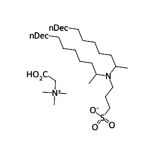 CCCCCCCCCCCCCCCC(C)N(CCCS(=O)(=O)[O-])C(C)CCCCCCCCCCCCCCC.C[N+](C)(C)CC(=O)O